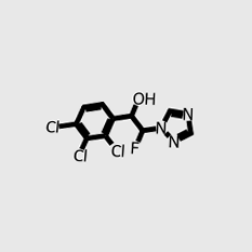 OC(c1ccc(Cl)c(Cl)c1Cl)C(F)n1cncn1